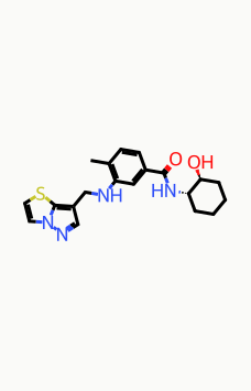 Cc1ccc(C(=O)N[C@H]2CCCC[C@@H]2O)cc1NCc1cnn2ccsc12